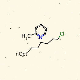 CCCCCCCCCCCCCCCl.Cc1ccccn1